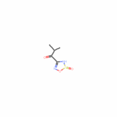 CC(C)C(=O)C1=NOS(=O)N1